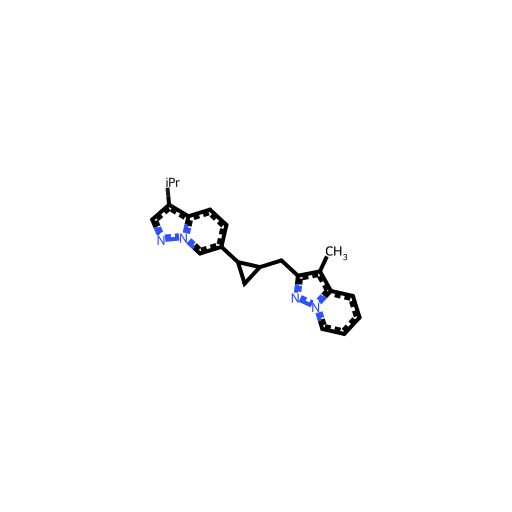 Cc1c(CC2CC2c2ccc3c(C(C)C)cnn3c2)nn2ccccc12